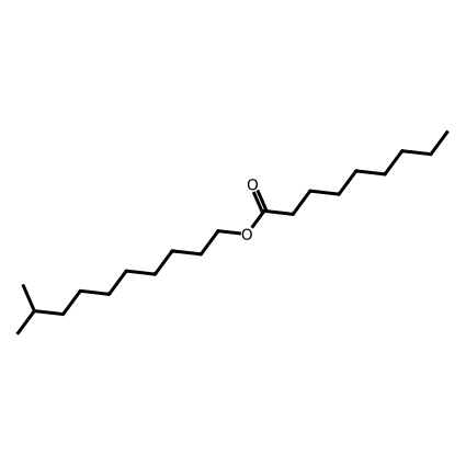 CCCCCCCCC(=O)OCCCCCCCCC(C)C